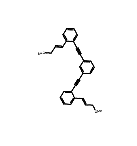 COCC=Cc1ccccc1C#Cc1cccc(C#Cc2ccccc2C=CCOC)c1